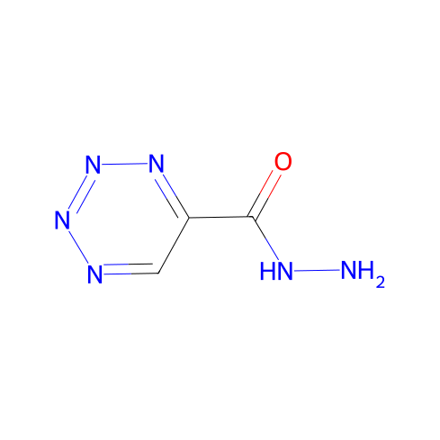 NNC(=O)c1cnnnn1